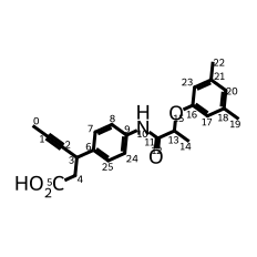 CC#CC(CC(=O)O)c1ccc(NC(=O)C(C)Oc2cc(C)cc(C)c2)cc1